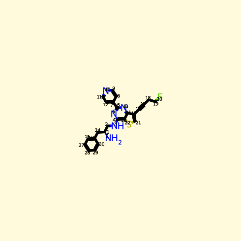 N[C@H](CNc1nc(-c2ccncc2)nc2c(C#CCCF)csc12)Cc1ccccc1